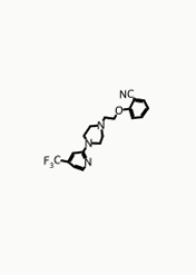 N#Cc1ccccc1OCCN1CCN(c2cc(C(F)(F)F)ccn2)CC1